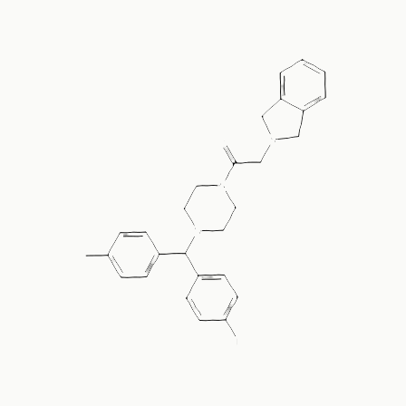 O=C(CN1Cc2ccccc2C1)N1CCN(C(c2ccc(F)cc2)c2ccc(F)cc2)CC1